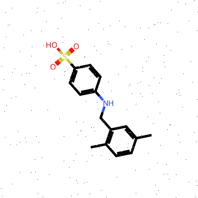 Cc1ccc(C)c(CNc2ccc(S(=O)(=O)O)cc2)c1